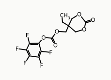 CCC1(COC(=O)Oc2c(F)c(F)c(F)c(F)c2F)COC(=O)OC1